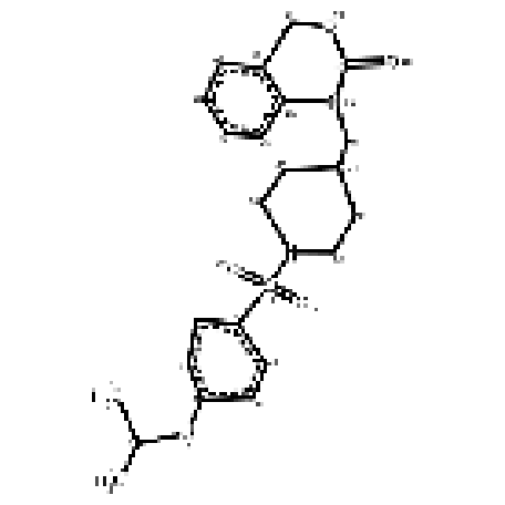 CC(C)Oc1ccc(S(=O)(=O)N2CCC(CN3C(=O)OCc4ccccc43)CC2)cc1